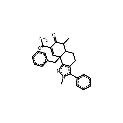 CC1C(=O)C(C(N)=O)=CC2(Cc3ccccc3)c3nn(C)c(-c4ccccc4)c3CCC12